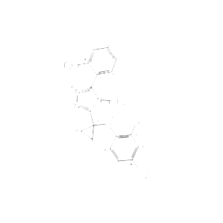 Cn1c(-c2ccccc2C(F)(F)F)nnc1C1(Oc2ccc(C(=O)O)cc2Br)CC1